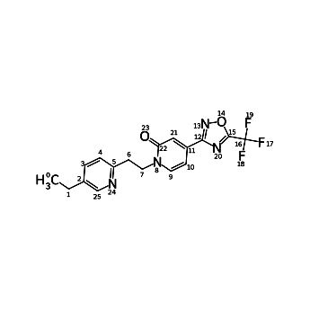 CCc1ccc(CCn2ccc(-c3noc(C(F)(F)F)n3)cc2=O)nc1